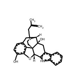 C=C(C)CN1CC[C@]23c4c5ccc(O)c4O[C@H]2c2[nH]c4ccccc4c2C[C@@]3(O)[C@H]1C5